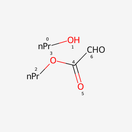 CCCO.CCCOC(=O)C=O